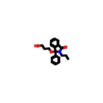 CCCN1C(=O)c2ccccc2C1(OCCCO)c1ccccc1